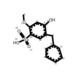 COc1cc(O)c(Cc2ccccc2)cc1S(=O)(=O)O